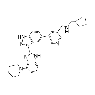 c1cc(N2CCCCC2)c2nc(-c3n[nH]c4ccc(-c5cncc(CNCC6CCCC6)c5)cc34)[nH]c2c1